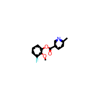 COc1c(F)cccc1OC(=O)c1ccc(C)nc1